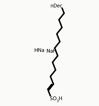 CCCCCCCCCCCCCCCCCCCCC=CS(=O)(=O)O.[NaH].[NaH]